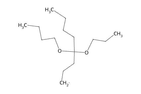 [CH2]CCC(CCCC)(OCCC)OCCCC